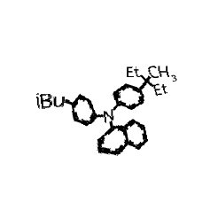 CCC(C)c1ccc(N(c2ccc(C(C)(CC)CC)cc2)c2cccc3ccccc23)cc1